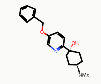 CN[C@H]1CC[C@@](O)(c2ccc(OCc3ccccc3)cn2)CC1